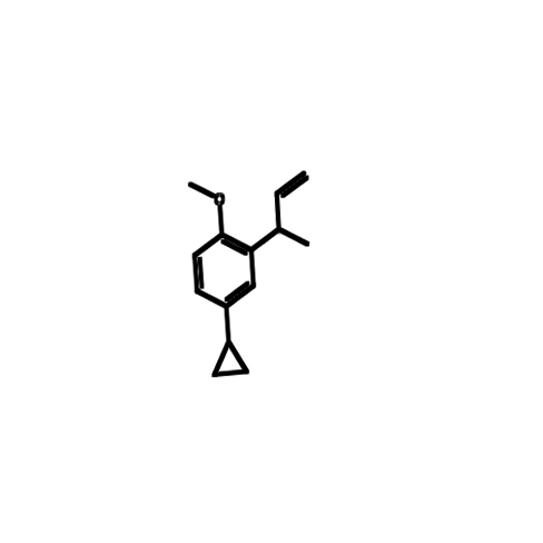 C=C[C](C)c1cc(C2CC2)ccc1OC